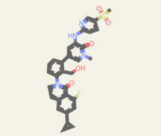 Cn1cc(-c2cccc(-n3ccc4cc(C5CC5)cc(F)c4c3=O)c2CO)cc(Nc2ccc(S(C)(=O)=O)cn2)c1=O